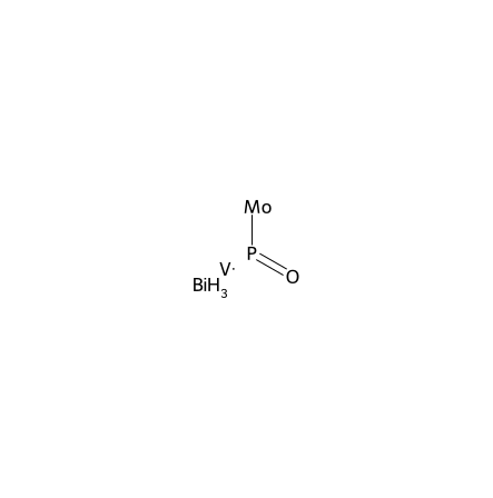 O=[P][Mo].[BiH3].[V]